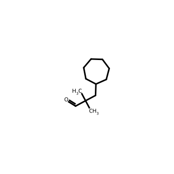 CC(C)(C=O)CC1CCCCCC1